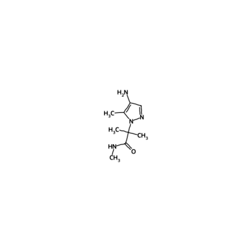 CNC(=O)C(C)(C)n1ncc(N)c1C